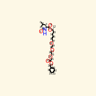 CC(C)C[C@H](NC=O)C(=O)O[C@H](C)CC/C=C/COCCOCCOCC(=O)OCc1ccccc1